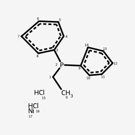 CCP(c1ccccc1)c1ccccc1.Cl.Cl.[Ni]